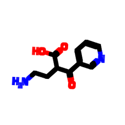 NCCC(C(=O)O)C(=O)c1cccnc1